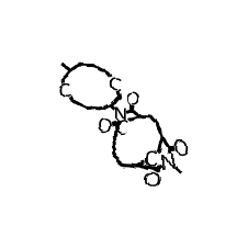 CC1CCCCCC(N2C(=O)C3CCC4CCC(CCC(CC3)C2=O)C(=O)N(C)C4=O)CCCCC1